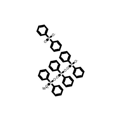 O=P([O-])(c1ccccc1)c1ccccc1.O=P([O-])(c1ccccc1)c1ccccc1.O=P([O-])(c1ccccc1)c1ccccc1.O=P([O-])(c1ccccc1)c1ccccc1.[W+4]